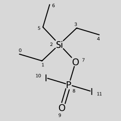 CC[Si](CC)(CC)OP(=O)(I)I